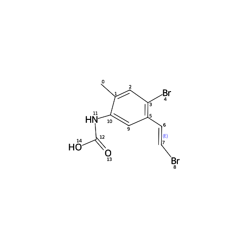 Cc1cc(Br)c(/C=C/Br)cc1NC(=O)O